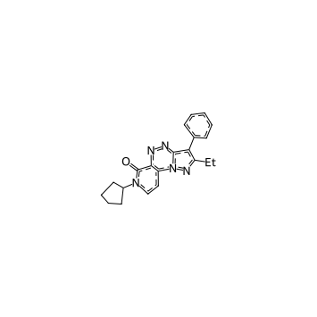 CCc1nn2c(nnc3c(=O)n(C4CCCC4)ccc32)c1-c1ccccc1